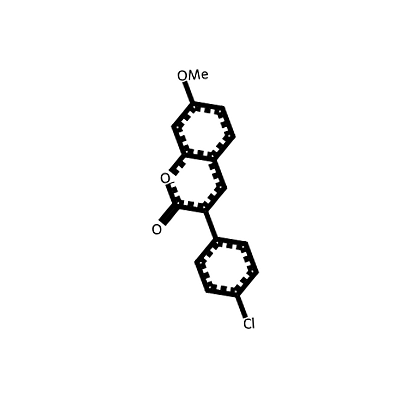 COc1ccc2cc(-c3ccc(Cl)cc3)c(=O)oc2c1